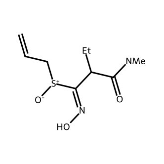 C=CC[S+]([O-])/C(=N\O)C(CC)C(=O)NC